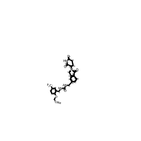 COCOc1ccc(C(F)(F)F)cc1CNC(=O)NCc1ccc2c(c1)CN(C1CCC(=O)NC1=O)C2=O